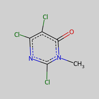 Cn1c(Cl)nc(Cl)c(Cl)c1=O